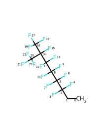 [CH2]CC(F)(F)C(F)(F)C(F)(F)C(F)(F)C(F)(C(F)(F)F)C(F)(F)F